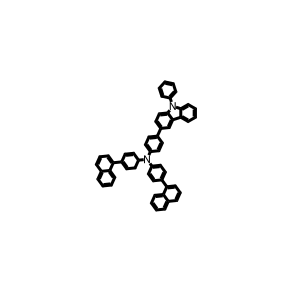 C1=CC(N(c2ccc(-c3ccc4c(c3)c3ccccc3n4-c3ccccc3)cc2)c2ccc(-c3cccc4ccccc34)cc2)CC=C1c1cccc2ccccc12